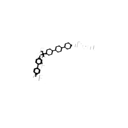 CCCCCC1CCC(C2CCC(C3CCC(C(F)(F)Oc4ccc(-c5ccc(C(F)(F)F)cc5)c(F)c4)CC3)CC2)CC1